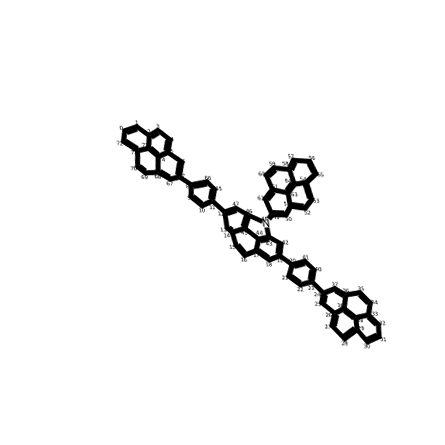 c1cc2ccc3cc(-c4ccc(-c5cc6ccc7cc(-c8ccc(-c9cc%10ccc%11cccc%12ccc(c9)c%10c%11%12)cc8)cc8c7c6c(c5)n8-c5cc6ccc7cccc8ccc(c5)c6c78)cc4)cc4ccc(c1)c2c34